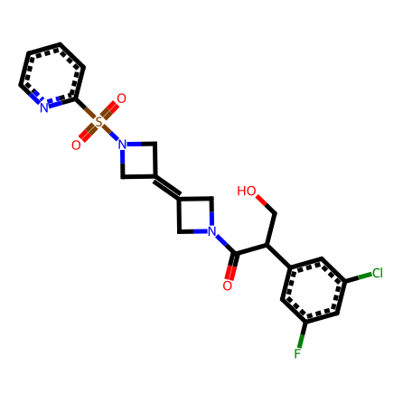 O=C(C(CO)c1cc(F)cc(Cl)c1)N1CC(=C2CN(S(=O)(=O)c3ccccn3)C2)C1